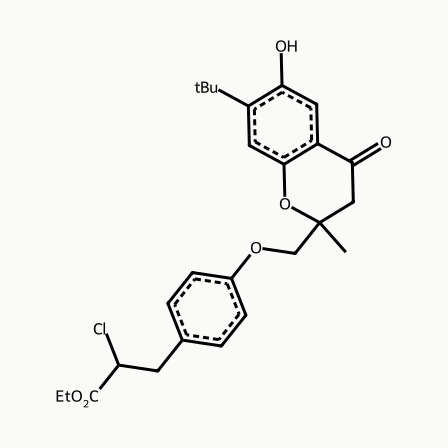 CCOC(=O)C(Cl)Cc1ccc(OCC2(C)CC(=O)c3cc(O)c(C(C)(C)C)cc3O2)cc1